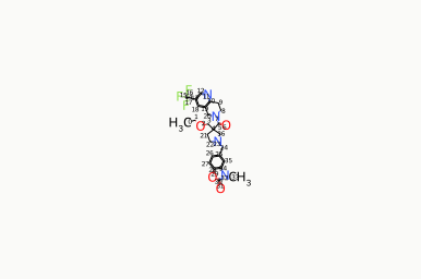 CCOCC1(C(=O)N2CCc3ncc(C(F)(F)F)cc3C2)CCN(Cc2ccc3oc(=O)n(C)c3c2)C1